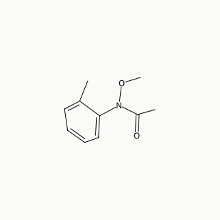 CON(C(C)=O)c1ccccc1C